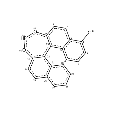 Clc1cccc2c1ccc1o[pH]oc3ccc4ccccc4c3c12